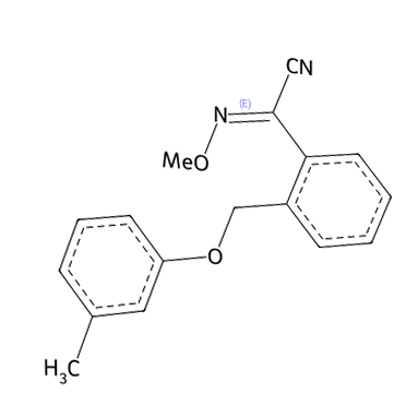 CO/N=C(/C#N)c1ccccc1COc1cccc(C)c1